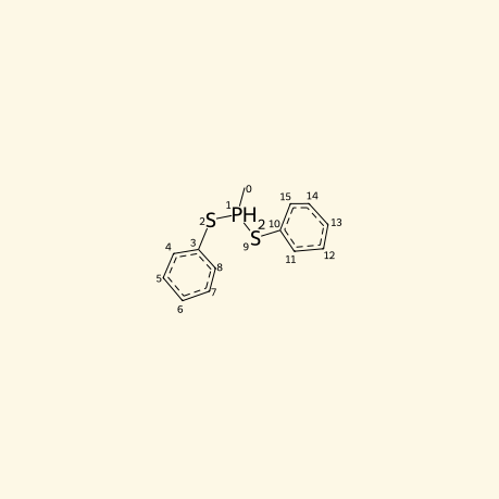 C[PH2](Sc1ccccc1)Sc1ccccc1